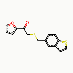 O=C(CSCc1ccc2sccc2c1)c1ccco1